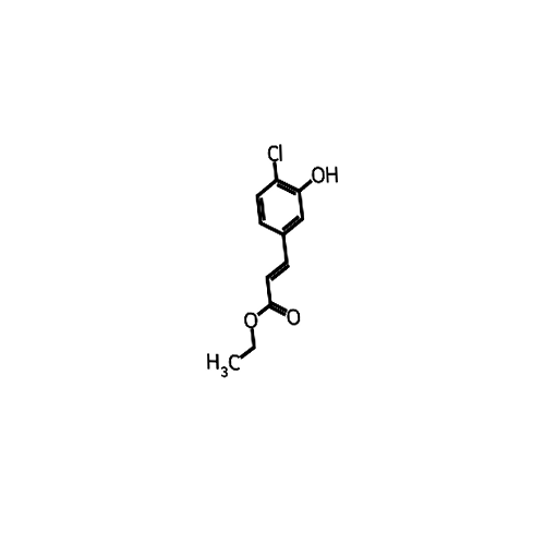 CCOC(=O)C=Cc1ccc(Cl)c(O)c1